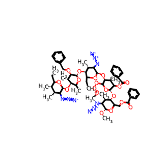 CCC1O[C@@H](O[C@@H]2C(C)O[C@@H](O[C@@H]3C(CC)O[C@H](O[C@@H]4C(OOOC)O[C@@H](O[C@@H]5C(COC(=O)c6ccccc6)O[C@H](OC)C(N=[N+]=[N-])[C@H]5C)C(OC(=O)c5ccccc5)[C@H]4C)C(N=[N+]=[N-])[C@H]3C)C(OCc3ccccc3)[C@H]2C)C(N=[N+]=[N-])[C@@H](C)[C@@H]1C